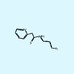 CC(C)C=CCNC(=S)Cc1ccccn1